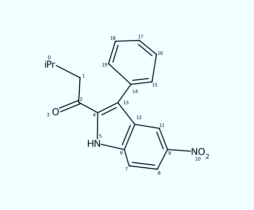 CC(C)CC(=O)c1[nH]c2ccc([N+](=O)[O-])cc2c1-c1ccccc1